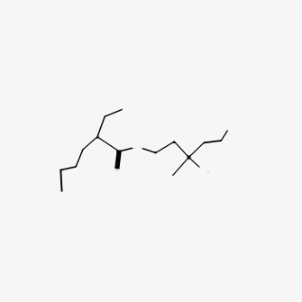 CCCCC(CC)C(=O)OCCC(C)(O)CCO